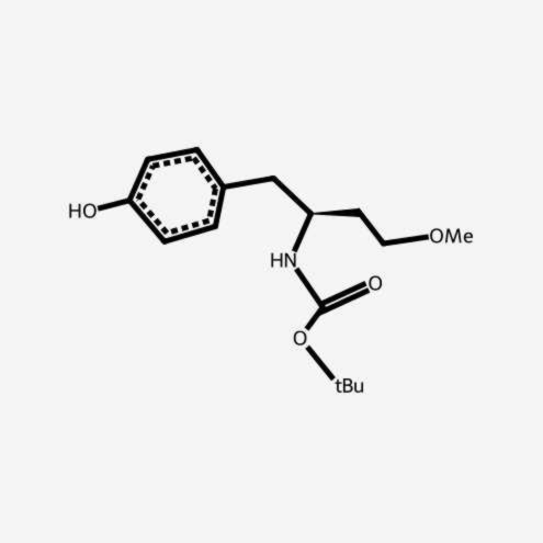 COCC[C@H](Cc1ccc(O)cc1)NC(=O)OC(C)(C)C